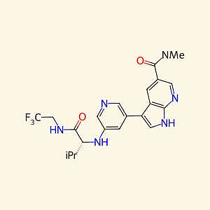 CNC(=O)c1cnc2[nH]cc(-c3cncc(N[C@@H](C(=O)NCC(F)(F)F)C(C)C)c3)c2c1